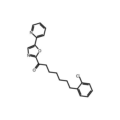 O=C(CCCCCCc1ccccc1Cl)c1ncc(-c2ccccn2)o1